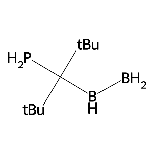 BBC(P)(C(C)(C)C)C(C)(C)C